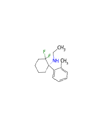 CCN[C@]1(c2ccccc2C)CCCCC1(F)F